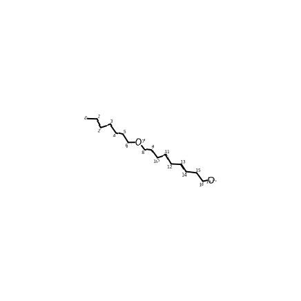 CCCCCCCOCCCCCCCCC[O]